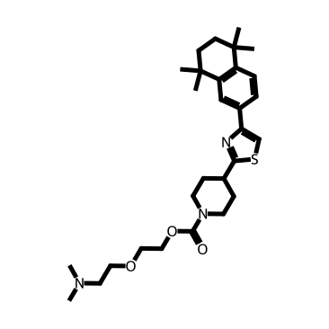 CN(C)CCOCCOC(=O)N1CCC(c2nc(-c3ccc4c(c3)C(C)(C)CCC4(C)C)cs2)CC1